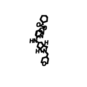 O=S(=O)(c1ccc(N[C@H]2C[C@@H]3CN(CC4CCOCC4)C[C@@H]3C2)nn1)C1CCCCC1